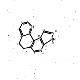 c1cnc2c(c1)CCc1cnc3[nH]ncc3c1-2